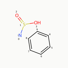 [N]S(=O)O.c1ccccc1